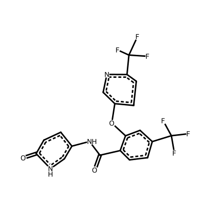 O=C(Nc1ccc(=O)[nH]c1)c1ccc(C(F)(F)F)cc1Oc1ccc(C(F)(F)F)nc1